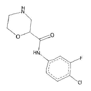 O=C(Nc1ccc(Cl)c(F)c1)C1CNCCO1